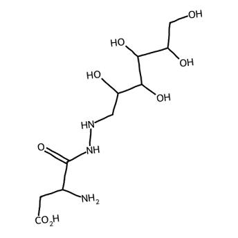 NC(CC(=O)O)C(=O)NNCC(O)C(O)C(O)C(O)CO